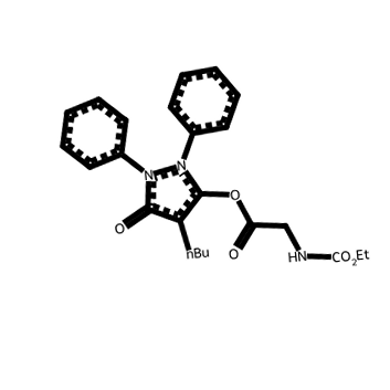 CCCCc1c(OC(=O)CNC(=O)OCC)n(-c2ccccc2)n(-c2ccccc2)c1=O